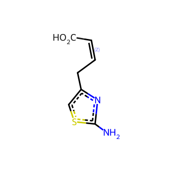 Nc1nc(C/C=C\C(=O)O)cs1